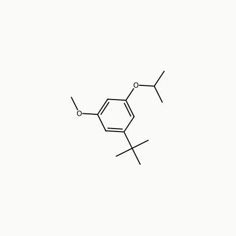 COc1cc(OC(C)C)cc(C(C)(C)C)c1